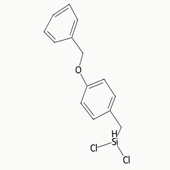 Cl[SiH](Cl)Cc1ccc(OCc2ccccc2)cc1